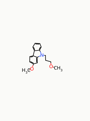 COCCCn1c2ccccc2c2ccc(OC)cc21